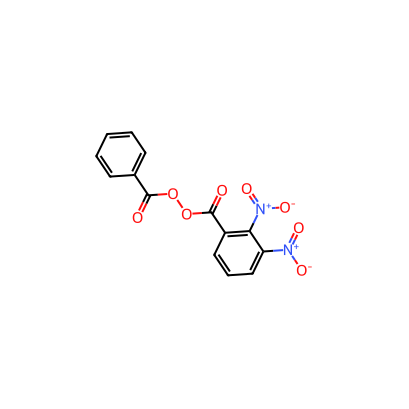 O=C(OOC(=O)c1cccc([N+](=O)[O-])c1[N+](=O)[O-])c1ccccc1